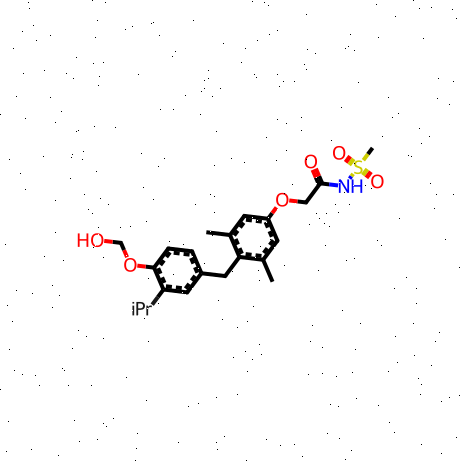 Cc1cc(OCC(=O)NS(C)(=O)=O)cc(C)c1Cc1ccc(OCO)c(C(C)C)c1